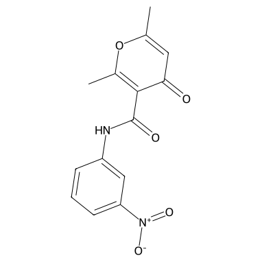 Cc1cc(=O)c(C(=O)Nc2cccc([N+](=O)[O-])c2)c(C)o1